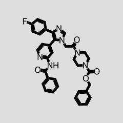 O=C(Nc1cc(-c2c(-c3ccc(F)cc3)ncn2CC(=O)N2CCN(C(=O)OCc3ccccc3)CC2)ccn1)c1ccccc1